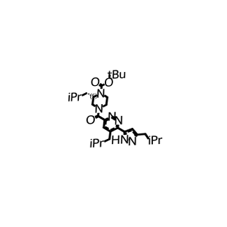 CC(C)Cc1cc(-c2nnc(C(=O)N3CCN(C(=O)OC(C)(C)C)[C@@H](CC(C)C)C3)cc2CC(C)C)[nH]n1